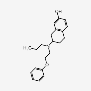 CCCN(CCOc1ccccc1)C1CCc2ccc(O)cc2C1